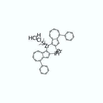 CC(C)c1cc2c(-c3ccccc3)ccccc-2[c]1[Zr]([c]1c2ccccc(-c3ccccc3)c-2cc1C(C)C)=[Si](C)C.Cl.Cl